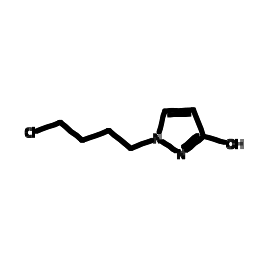 Oc1ccn(CCCCCl)n1